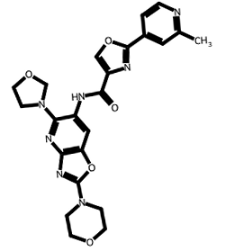 Cc1cc(-c2nc(C(=O)Nc3cc4oc(N5CCOCC5)nc4nc3N3CCOC3)co2)ccn1